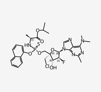 Cc1nc(N(C)C)c2ncn([C@@H]3O[C@](CCl)(COP(=S)(N[C@@H](C)C(=O)OC(C)C)Oc4cccc5ccccc45)[C@@H](O)[C@@H]3F)c2n1